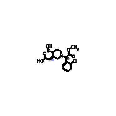 COC(=O)[C@@H](c1ccccc1Cl)N1CCC(SO)/C(=C\C(=O)O)C1